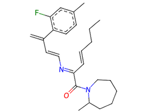 C=C(/C=C/N=C(\C=C\CCC)C(=O)N1CCCCCC1C)c1ccc(C)cc1F